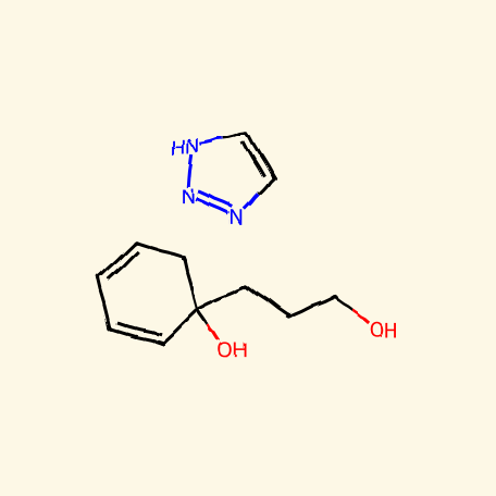 OCCCC1(O)C=CC=CC1.c1c[nH]nn1